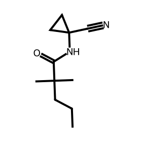 CCCC(C)(C)C(=O)NC1(C#N)CC1